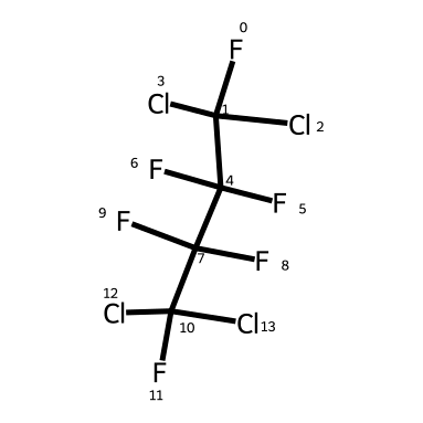 FC(Cl)(Cl)C(F)(F)C(F)(F)C(F)(Cl)Cl